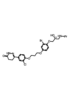 CC(C)NC[C@H](O)COc1ccc(OCCCOc2ccc(C3=NNC(=O)CC3)cc2Cl)cc1Br